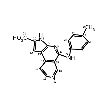 Cc1ccc(Nc2nc3[nH]c(C(=O)O)cc3c3ccncc23)cc1